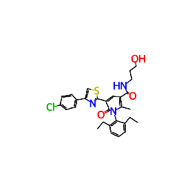 CCc1cccc(CC)c1-n1c(C)c(C(=O)NCCCO)cc(-c2nc(-c3ccc(Cl)cc3)cs2)c1=O